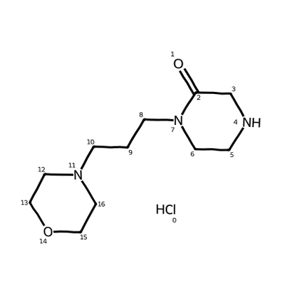 Cl.O=C1CNCCN1CCCN1CCOCC1